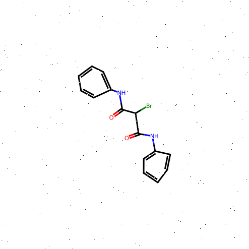 O=C(Nc1ccccc1)C(Br)C(=O)Nc1ccccc1